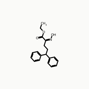 CCOC(=O)C(CCC(c1ccccc1)c1ccccc1)=NO